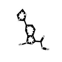 CCCn1nc(C(=O)N=N)c2ccc(-c3nccs3)cc21